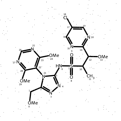 COCc1nnc(NS(=O)(=O)C(C)C(OC)c2ncc(Cl)cn2)n1-c1c(OC)ncnc1OC